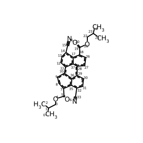 CC(C)COC(=O)c1ccc2c3ccc(C#N)c4c(C(=O)OCC(C)C)ccc(c5ccc(C#N)c1c52)c43